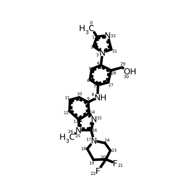 Cc1cn(-c2ccc(Nc3cccc4c3nc(N3CCC(F)(F)CC3)n4C)cc2CO)cn1